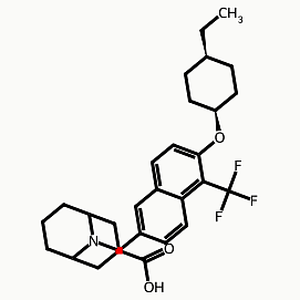 CC[C@H]1CC[C@@H](Oc2ccc3cc(CN4C5CCCC4CC(C(=O)O)C5)ccc3c2C(F)(F)F)CC1